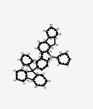 c1ccc(-n2c3ccc(C4(c5ccccc5)c5ccccc5-c5ccccc54)cc3c3ccc4c(c32)Cc2ccccc2-4)cc1